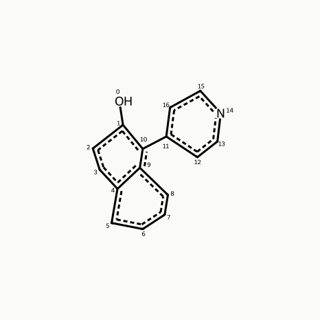 Oc1ccc2ccccc2c1-c1ccncc1